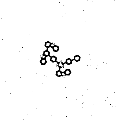 C1=CCC(c2ccc(-c3nc(-c4ccc(-c5cc(-c6cccc7sc8ccccc8c67)cc6oc7ccccc7c56)cc4)nc(-c4cccc5oc6ccccc6c45)n3)cc2)C=C1